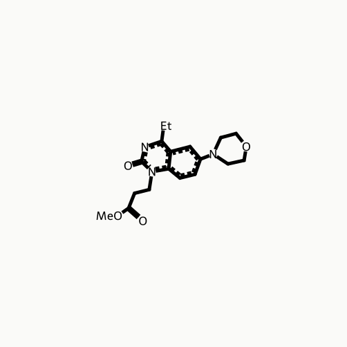 CCc1nc(=O)n(CCC(=O)OC)c2ccc(N3CCOCC3)cc12